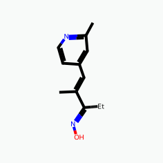 CCC(=N\O)/C(C)=C/c1ccnc(C)c1